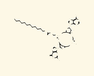 CCCCCCCCCCCCOC(=O)OCSP1(=O)OC[C@H]2O[C@@H](n3cnc4c(N)ncnc43)[C@H](F)[C@@H]2OCP(=O)(O)OC[C@H]2O[C@@H](n3cnc4c(=O)[nH]c(N)nc43)[C@H](O1)[C@@H]2F